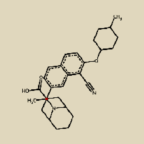 CC1CCC(Oc2ccc3ccc(C(C)N4C5CCCC4CC(C(=O)O)C5)cc3c2C#N)CC1